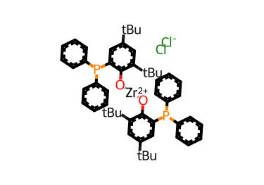 CC(C)(C)c1cc(P(c2ccccc2)c2ccccc2)c([O][Zr+2][O]c2c(P(c3ccccc3)c3ccccc3)cc(C(C)(C)C)cc2C(C)(C)C)c(C(C)(C)C)c1.[Cl-].[Cl-]